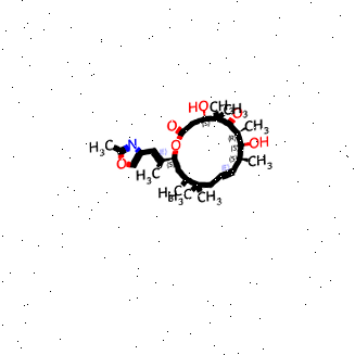 C/C(=C\c1coc(C)n1)[C@@H]1CC(C)C(C)(C)C/C=C/[C@H](C)[C@H](O)[C@@H](C)C(=O)C(C)(C)[C@@H](O)CC(=O)O1